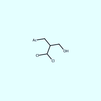 CC(=O)CC(CO)C(Cl)Cl